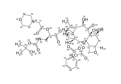 CC(=O)O[C@@]12CO[C@@H]1C[C@H](O)[C@@]1(C)C(=O)[C@H](O)C3=C(C)[C@@H](OC(=O)[C@@H](CNC(=O)OC(C)(C)C)OC(=O)CN4CCOCC4)C[C@@](O)([C@@H](OC(=O)c4ccccc4)[C@@H]21)C3(C)C